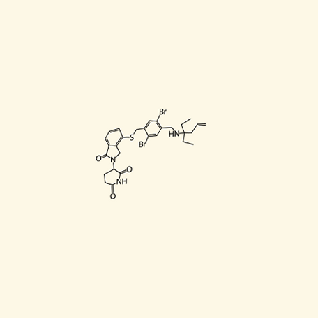 C=CCC(CC)(CC)NCc1cc(Br)c(CSc2cccc3c2CN(C2CCC(=O)NC2=O)C3=O)cc1Br